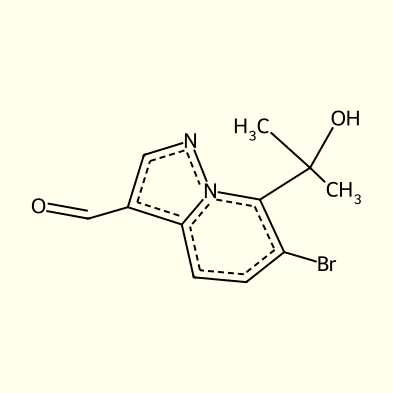 CC(C)(O)c1c(Br)ccc2c(C=O)cnn12